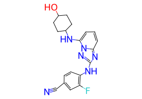 N#Cc1ccc(Nc2nc3cccc(NC4CCC(O)CC4)n3n2)c(F)c1